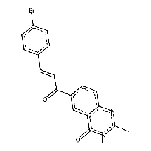 Cc1nc2ccc(C(=O)/C=C/c3ccc(Br)cc3)cc2c(=O)[nH]1